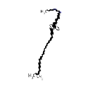 CCCCC/C=C\C/C=C\CCCCCCCC(=O)OCCCCCCCCCCCCCCCCCCCCCCCCCCCCCC(C)CC